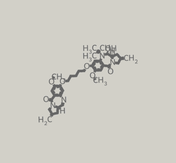 C=C1C[C@H]2C=Nc3cc(OCCCCCOc4cc5c(cc4OC)C(=O)N4CC(=C)C[C@H]4[C@H](O)N5C(C)(C)C)c(OC)cc3C(=O)N2C1